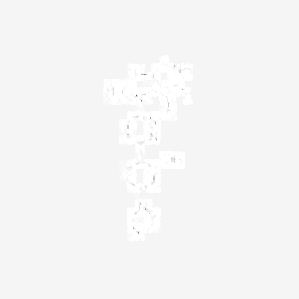 CN(c1ccc(-c2ccc(-n3ccnc3)cc2O)nn1)[C@H]1[C@@H]2CN[C@@H](C2)[C@H]1F